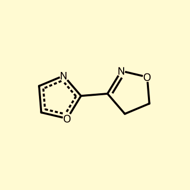 c1coc(C2=NOCC2)n1